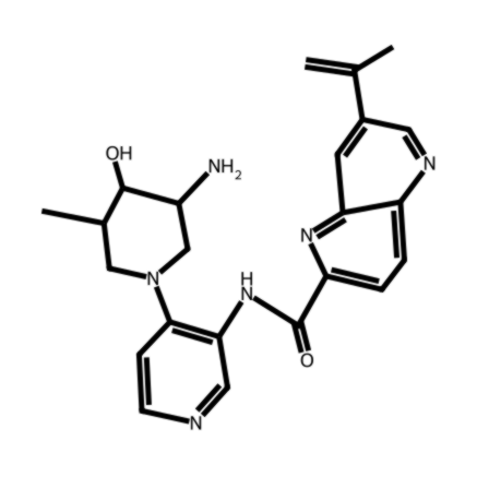 C=C(C)c1cnc2ccc(C(=O)Nc3cnccc3N3CC(C)C(O)C(N)C3)nc2c1